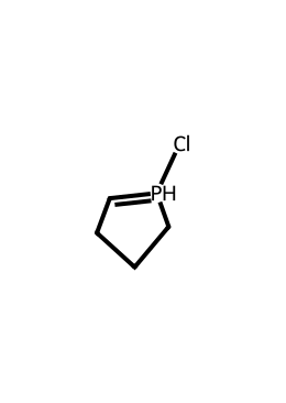 Cl[PH]1=CCCC1